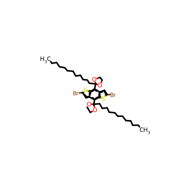 CCCCCCCCCCCCC1(c2c3cc(Br)sc3c(C3(CCCCCCCCCCCC)OCCO3)c3cc(Br)sc23)OCCO1